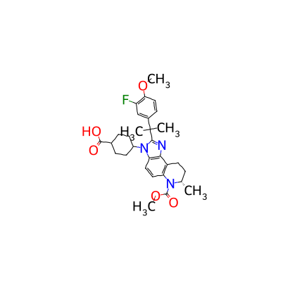 COC(=O)N1c2ccc3c(nc(C(C)(C)c4ccc(OC)c(F)c4)n3C3CCC(C(=O)O)CC3)c2CC[C@@H]1C